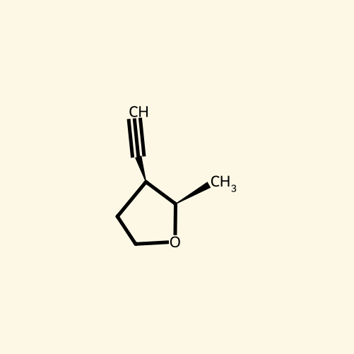 C#C[C@@H]1CCO[C@@H]1C